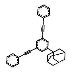 C(#Cc1cc(C#Cc2ccccc2)cc(C23CC4CC(CC(C4)C2)C3)c1)c1ccccc1